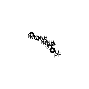 COC(C(=O)Nc1nnc(N[C@@H]2CCN(c3cccnn3)C2)s1)c1cccc(OC(F)F)c1